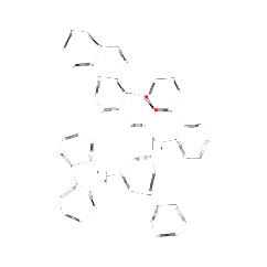 c1ccc(-c2cc(N(c3ccc4c(ccc5c6ccccc6ccc45)c3)c3ccccc3-c3ccccc3)cc(-n3c4ccccc4c4ccccc43)c2)cc1